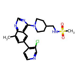 Cc1cc(-c2ccncc2Cl)cc2c(N3CCC(CNS(C)(=O)=O)CC3)ncnc12